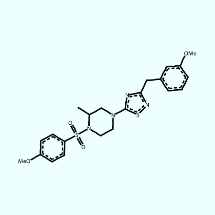 COc1ccc(S(=O)(=O)N2CCN(c3nc(Cc4cccc(OC)c4)ns3)CC2C)cc1